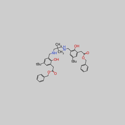 CC(C)(CNCc1cc(C(C)(C)C)cc(CC(=O)OCc2ccccc2)c1O)CNCc1cc(C(C)(C)C)cc(CC(=O)OCc2ccccc2)c1O